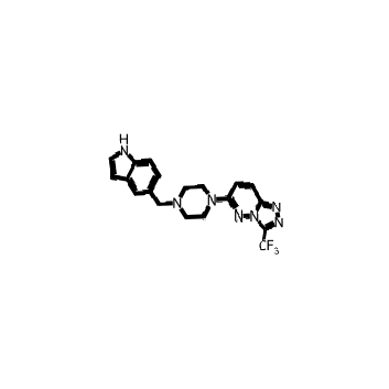 FC(F)(F)c1nnc2ccc(N3CCN(Cc4ccc5[nH]ccc5c4)CC3)nn12